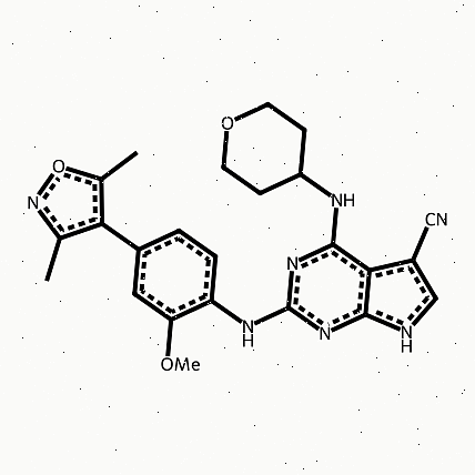 COc1cc(-c2c(C)noc2C)ccc1Nc1nc(NC2CCOCC2)c2c(C#N)c[nH]c2n1